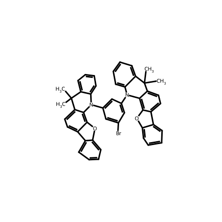 CC1(C)c2ccccc2N(c2cc(Br)cc(N3c4ccccc4C(C)(C)c4ccc5c(oc6ccccc65)c43)c2)c2c1ccc1c2oc2ccccc21